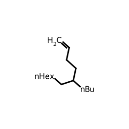 C=CCCC(CCCC)CCCCCCC